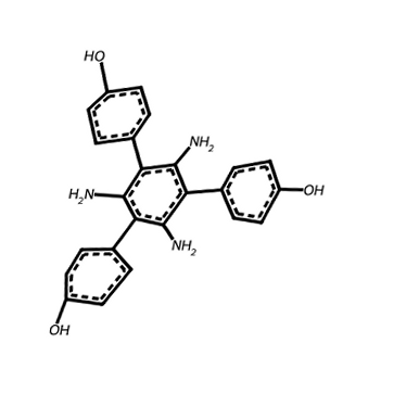 Nc1c(-c2ccc(O)cc2)c(N)c(-c2ccc(O)cc2)c(N)c1-c1ccc(O)cc1